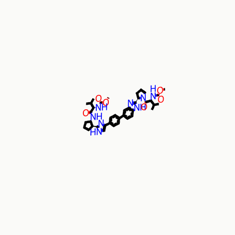 COC(=O)N[C@H](C(=O)N[C@H]1CCC[C@@H]1c1nc(-c2ccc(-c3ccc4[nH]c([C@@H]5CCCN5C(=O)[C@@H](NC(=O)OC)C(C)C)nc4c3)cc2)c[nH]1)C(C)C